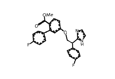 COC(=O)c1ccc(OCC(c2ccc(F)cc2)c2ncc[nH]2)cc1-c1ccc(F)cc1